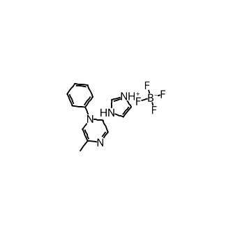 CC1=CN(c2ccccc2)CC=N1.F[B-](F)(F)F.c1c[nH+]c[nH]1